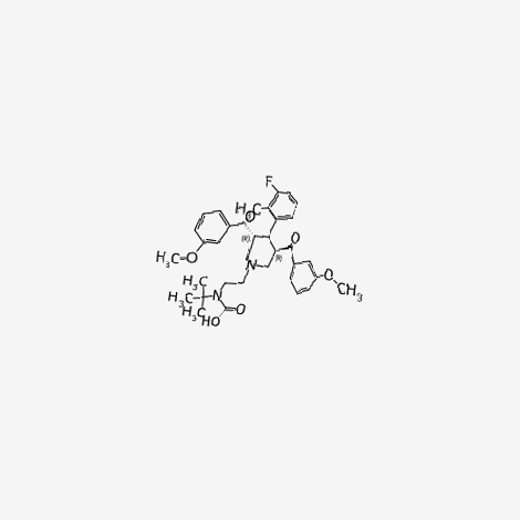 COc1cccc(C(=O)[C@H]2CN(CCN(C(=O)O)C(C)(C)C)C[C@H](C(=O)c3cccc(OC)c3)C2c2cccc(F)c2C)c1